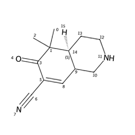 CC1(C)C(=O)C(C#N)=CC2CNCC[C@@H]21